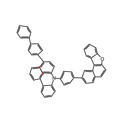 c1ccc(-c2ccc(-c3ccc(N(c4ccc(-c5ccc6ccc7oc8ccccc8c7c6c5)cc4)c4ccccc4-c4ccccc4)cc3)cc2)cc1